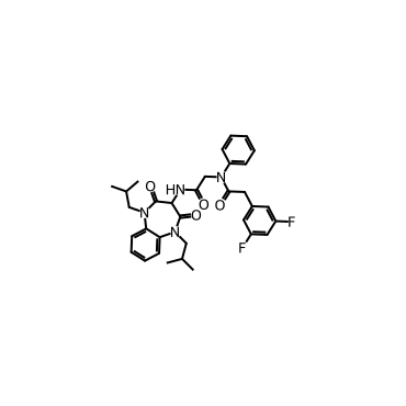 CC(C)CN1C(=O)C(NC(=O)CN(C(=O)Cc2cc(F)cc(F)c2)c2ccccc2)C(=O)N(CC(C)C)c2ccccc21